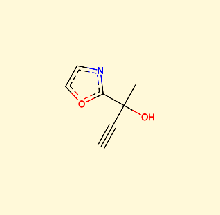 C#CC(C)(O)c1ncco1